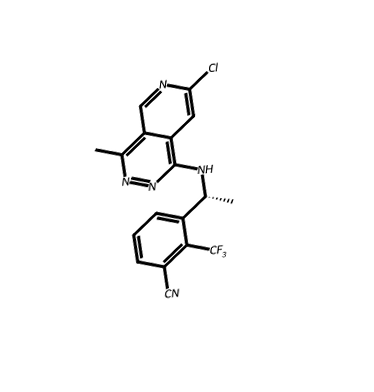 Cc1nnc(N[C@H](C)c2cccc(C#N)c2C(F)(F)F)c2cc(Cl)ncc12